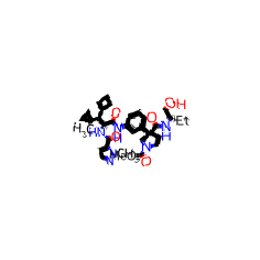 CC[C@@H](CO)NC(=O)C1(c2cccc(NC(=O)[C@@H](NC(=O)c3ccnn3C)C(C3CCC3)C3(C)CC3)c2)CCN(C(=O)OC)C1